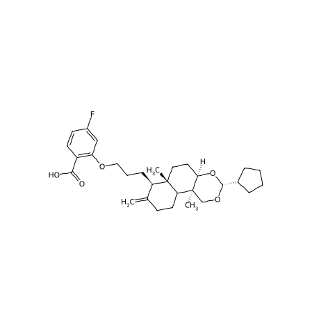 C=C1CCC2[C@]3(C)CO[C@@H](C4CCCC4)O[C@@H]3CC[C@@]2(C)[C@@H]1CCCOc1cc(F)ccc1C(=O)O